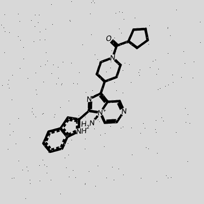 N[N+]12C=CN=CC1=C(C1CCN(C(=O)C3CCCC3)CC1)N=C2c1cc2ccccc2[nH]1